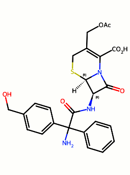 CC(=O)OCC1=C(C(=O)O)N2C(=O)[C@@H](NC(=O)C(N)(c3ccccc3)c3ccc(CO)cc3)[C@H]2SC1